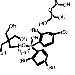 CC(C)(C)c1ccc(P(O)(O)(O)c2ccc(C(C)(C)C)cc2C(C)(C)C)c(C(C)(C)C)c1.OCC(CO)(CO)CO.OP(O)OP(O)O